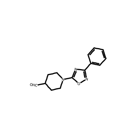 O=CC1CCN(c2nc(-c3ccccc3)no2)CC1